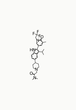 Cc1cc(-c2[nH]c3ccc(C4CCN(CC(=O)N(C)C)CC4)cc3c2C(C)C)cn(CC(F)(F)F)c1=O